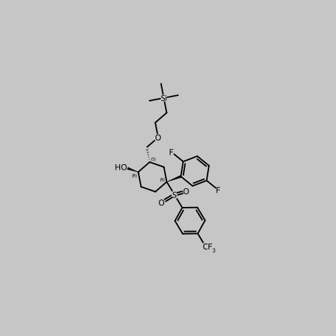 C[Si](C)(C)CCOC[C@@H]1C[C@](c2cc(F)ccc2F)(S(=O)(=O)c2ccc(C(F)(F)F)cc2)CC[C@H]1O